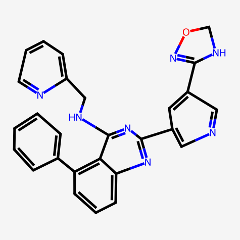 c1ccc(-c2cccc3nc(-c4cncc(C5=NOCN5)c4)nc(NCc4ccccn4)c23)cc1